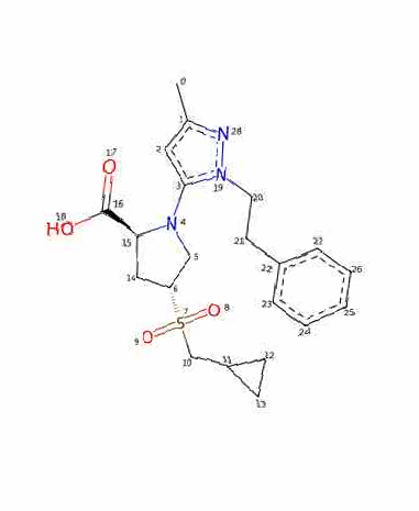 Cc1cc(N2C[C@H](S(=O)(=O)CC3CC3)C[C@H]2C(=O)O)n(CCc2ccccc2)n1